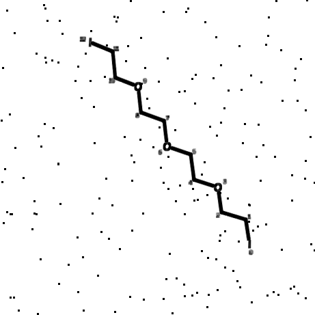 ICCOCCOCCOCCI